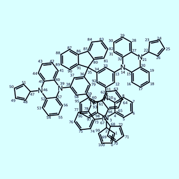 C1=CC(N2c3ccccc3N(c3cc(N4c5ccccc5N(C5C=CC=C5)c5ccccc54)cc(C4(c5cc(N6c7ccccc7N(C7C=CC=C7)c7ccccc76)cc(N6c7ccccc7N(C7C=CC=C7)c7ccccc76)c5)c5ccccc5-c5ccccc54)c3)c3ccccc32)C=C1